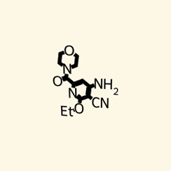 CCOc1nc(C(=O)N2CCOCC2)cc(N)c1C#N